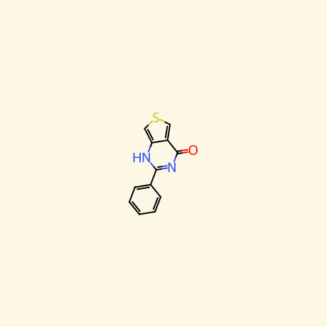 O=c1nc(-c2ccccc2)[nH]c2cscc12